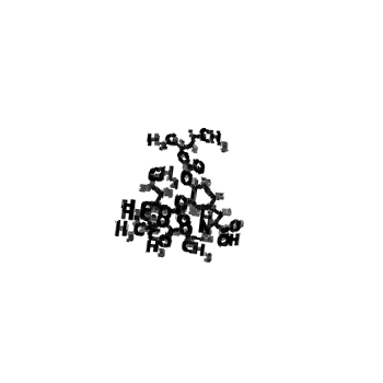 CCCC(C)OC(=O)Oc1ccc(C[C@H](NCC(C)OC(=O)OC(C)(C)C)C(=O)O)cc1OC(=O)OC(C)CCC